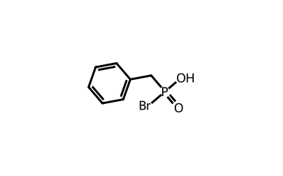 O=P(O)(Br)Cc1ccccc1